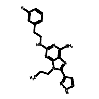 CCCn1c(-c2cc[nH]n2)nc2c(N)nc(NCCc3cccc(F)c3)nc21